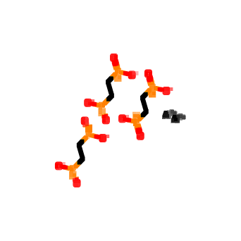 O=[PH]([O-])CC[PH](=O)[O-].O=[PH]([O-])CC[PH](=O)[O-].O=[PH]([O-])CC[PH](=O)[O-].[Al+3].[Al+3]